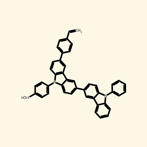 C=Cc1ccc(-c2ccc3c(c2)c2cc(-c4ccc5c(c4)c4ccccc4n5-c4ccccc4)ccc2n3-c2ccc(CCCCCCCC)cc2)cc1